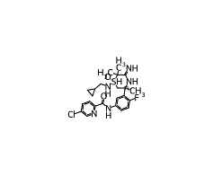 CC1(C)C(=N)N[C@](C)(c2cc(NC(=O)c3ccc(Cl)cn3)ccc2F)C[SH]1(=O)NCC1CC1